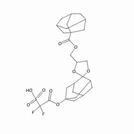 O=C(OCC1COC2(O1)C1CC3CC2CC(OC(=O)C(F)(F)S(=O)(=O)O)(C3)C1)C12CC3CC(CC(C3)C1)C2